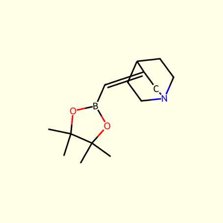 CC1(C)OB(/C=C2\CN3CCC2CC3)OC1(C)C